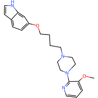 COc1cccnc1N1CCN(CCCCOc2ccc3cc[nH]c3c2)CC1